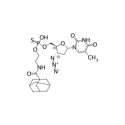 Cc1cn(C2C[C@H](N=[N+]=[N-])[C@@H](COP(O)(=S)OCCNC(=O)C34CC5CC(CC(C5)C3)C4)O2)c(=O)[nH]c1=O